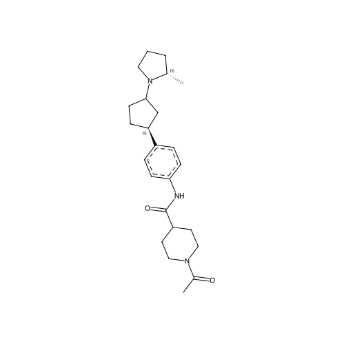 CC(=O)N1CCC(C(=O)Nc2ccc([C@H]3CCC(N4CCC[C@@H]4C)C3)cc2)CC1